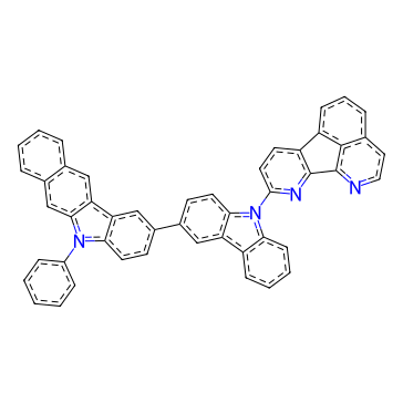 c1ccc(-n2c3ccc(-c4ccc5c(c4)c4ccccc4n5-c4ccc5c(n4)-c4nccc6cccc-5c46)cc3c3cc4ccccc4cc32)cc1